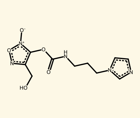 O=C(NCCCn1ccnc1)Oc1c(CO)no[n+]1[O-]